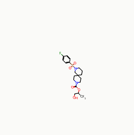 O=C(OC(CO)C(F)(F)F)N1CCC2(CCCN(S(=O)(=O)c3ccc(F)cc3)C2)CC1